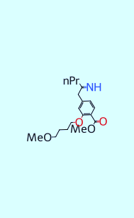 CCCC(=N)Cc1ccc(C(=O)OC)c(OCCCCOC)c1